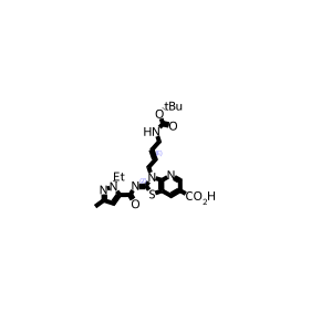 CCn1nc(C)cc1C(=O)/N=c1\sc2cc(C(=O)O)cnc2n1C/C=C/CNC(=O)OC(C)(C)C